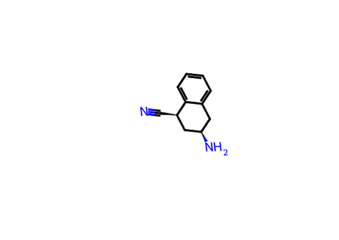 N#C[C@@H]1C[C@H](N)Cc2ccccc21